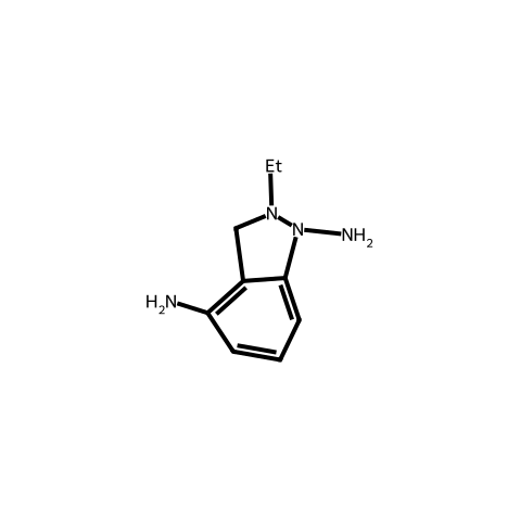 CCN1Cc2c(N)cccc2N1N